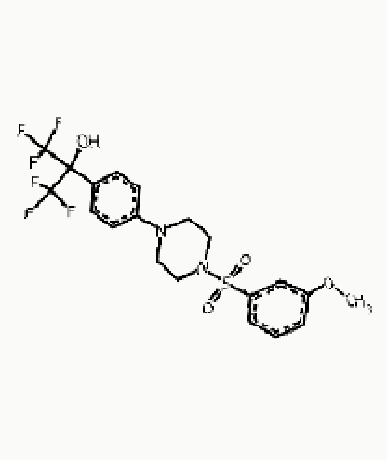 COc1cccc(S(=O)(=O)N2CCN(c3ccc(C(O)(C(F)(F)F)C(F)(F)F)cc3)CC2)c1